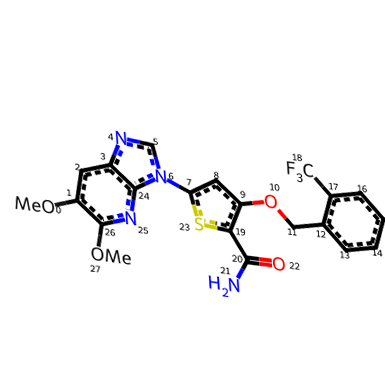 COc1cc2ncn(-c3cc(OCc4ccccc4C(F)(F)F)c(C(N)=O)s3)c2nc1OC